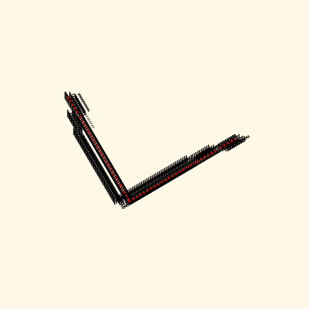 O.O.O.O.O.O.O.O.O.O.O.O.O.O.O.O.O.O.O.O.O.O.O.O.O.O.O.O.O.O.O.O.O.O.O.O.O.O.O.O.O.O.O.O.O.O.O.O.O.O.O.O.O.O.O.O.O.O.O.O.O.O.O.O.O.O.O.O.O.O.O.O.O.O.O.O.O.O.O.O.[Na+].[Na+].[Na+].[Na+].[Na+].[Na+].[Na+].[Na+].[Na+].[Na+].[Na+].[Na+].[Na+].[Na+].[Na+].[Na+].[Na+].[Na+].[Na+].[Na+].[OH-].[OH-].[OH-].[OH-].[OH-].[OH-].[OH-].[OH-].[OH-].[OH-].[OH-].[OH-].[OH-].[OH-].[OH-].[OH-].[OH-].[OH-].[OH-].[OH-]